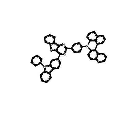 c1ccc(-n2c3ccccc3c3ccc(-c4nc(-c5ccc(N6c7ccc8ccccc8c7-c7cccc8cccc6c78)cc5)nc5c4sc4ccccc45)cc32)cc1